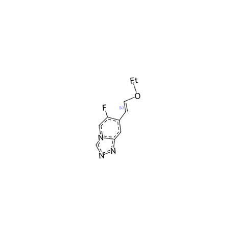 CCO/C=C/c1cc2nncn2cc1F